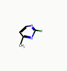 [CH2]c1ccnc(F)n1